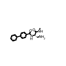 CNC(=O)[C@H](CN)NC(=O)c1ccc(-c2ccccc2)cc1